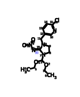 CCOC(OCC)N1CCN(Cc2ccc(Cl)nc2)/C1=N\[N+](=O)[O-]